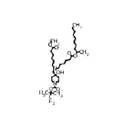 CCCCCCCCC(C)OC(=O)CCCCCN(CCCCCC(=O)OC)CC1(O)CCN(C(=O)OC(C)(C)C)CC1